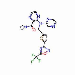 O=C(c1nccnc1N(Cc1ccc(-c2noc(C(F)(F)F)n2)s1)c1cnccn1)N1CCC1